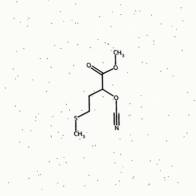 COC(=O)C(CCSC)OC#N